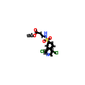 CC(C)(C)OC(=O)CCNS(=O)(=O)c1ccc2c(Cl)cnc(Cl)c2c1